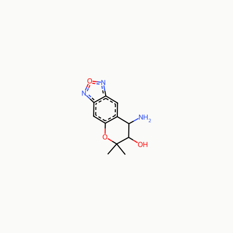 CC1(C)Oc2cc3nonc3cc2C(N)C1O